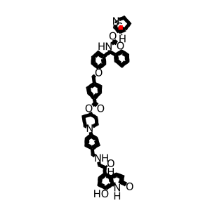 O=C(NC(c1ccccc1)c1cccc(OCc2ccc(C(=O)OC3CCN(c4ccc(CNC[C@@H](O)c5ccc(O)c6[nH]c(=O)ccc56)cc4)CC3)cc2)c1)O[C@H]1CN2CCC1CC2